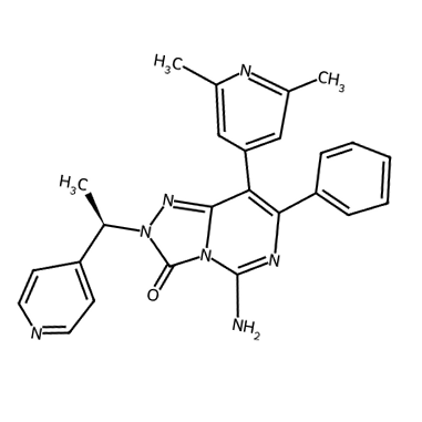 Cc1cc(-c2c(-c3ccccc3)nc(N)n3c(=O)n([C@H](C)c4ccncc4)nc23)cc(C)n1